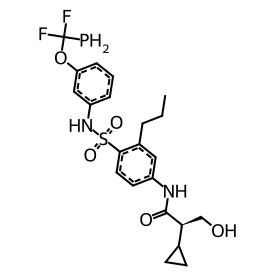 CCCc1cc(NC(=O)[C@@H](CO)C2CC2)ccc1S(=O)(=O)Nc1cccc(OC(F)(F)P)c1